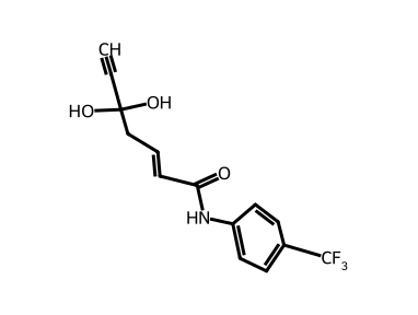 C#CC(O)(O)CC=CC(=O)Nc1ccc(C(F)(F)F)cc1